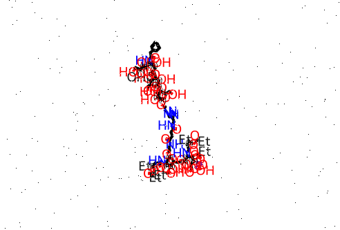 CCC(=O)OC1[C@H](OP(=O)(O)O)C(CO)O[C@@H](OCC2O[C@@H](OCCNC(=O)CCC(=O)NCc3cn(CCO[C@@H]4OC(CO)[C@@H](O[C@@H]5OC(CO)[C@H](O)C(O[C@]6(C=O)C[C@@H](O)[C@@H](NC(=O)Cc7ccccc7)C([C@H](O)[C@H](O)CO)O6)[C@@H]5O)C(O)[C@@H]4O)nn3)C(NC(=O)C[C@@H](CC)OC(=O)CC)[C@@H](OC(=O)CC)[C@@H]2O)[C@H]1NC(=O)C[C@@H](CC)OC(=O)CC